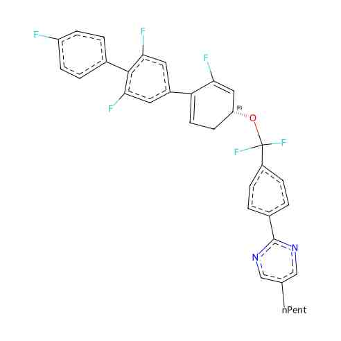 CCCCCc1cnc(-c2ccc(C(F)(F)O[C@H]3C=C(F)C(c4cc(F)c(-c5ccc(F)cc5)c(F)c4)=CC3)cc2)nc1